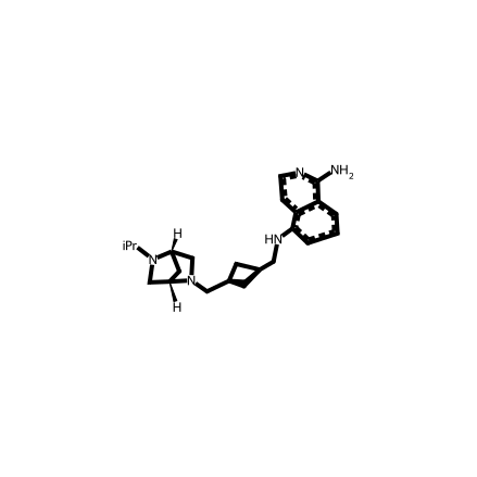 CC(C)N1C[C@@H]2C[C@H]1CN2CC12CC(CNc3cccc4c(N)nccc34)(C1)C2